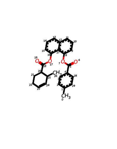 Cc1ccc(C(=O)Oc2cccc3cccc(OC(=O)C4CCC=CC4C)c23)cc1